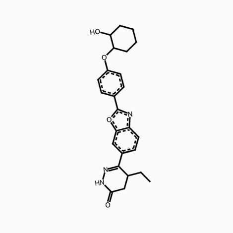 CCC1CC(=O)NN=C1c1ccc2nc(-c3ccc(OC4CCCCC4O)cc3)oc2c1